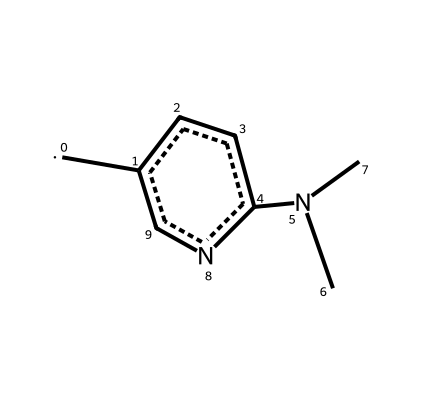 [CH2]c1ccc(N(C)C)nc1